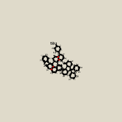 CC(C)(C)c1ccc(-c2ccc(N(c3cccc4c3-c3ccccc3C4(c3ccccc3)c3ccccc3)c3ccc4ccccc4c3-c3ccccc3-c3cccc4sc5ccccc5c34)cc2)cc1